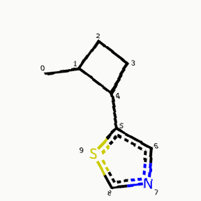 C[C]1CCC1c1cncs1